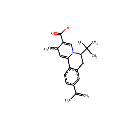 C=C1C=C2c3ccc(C(=C)C)cc3CC(C(C)(C)C)N2C=C1C(=O)O